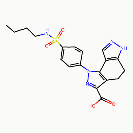 CCCCNS(=O)(=O)c1ccc(-n2nc(C(=O)O)c3c2-c2cn[nH]c2CC3)cc1